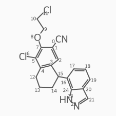 N#Cc1cc2c(c(Cl)c1OCCCl)CCCC2c1cccc2cn[nH]c12